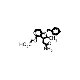 CC1C(CC(N)=O)c2c(ccnc2OCC(=O)O)N1Cc1ccccc1